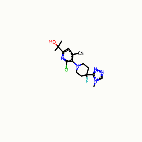 Cn1cnnc1C1(F)CCN(c2c(C#N)cc(C(C)(C)O)nc2Cl)CC1